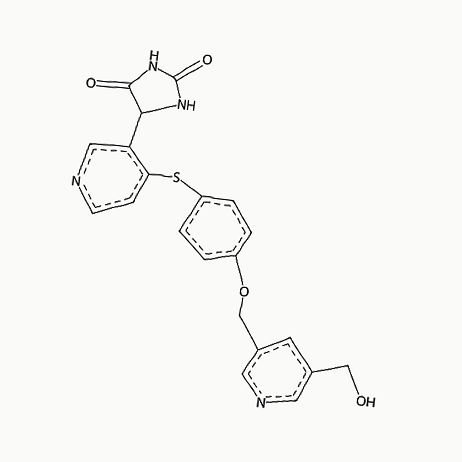 O=C1NC(=O)C(c2cnccc2Sc2ccc(OCc3cncc(CO)c3)cc2)N1